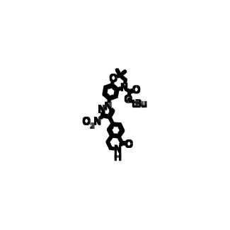 CC(C)(C)OC(=O)N1CC(C)(C)Oc2ccc(-n3cc(-c4ccc5c(c4)CCNC5=O)c([N+](=O)[O-])n3)cc21